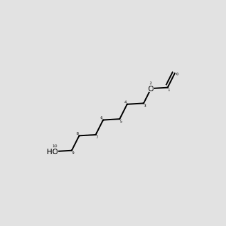 C=COCCCCCCCO